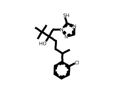 CC(CCC(O)(Cn1ncnc1S)C(C)(C)C)c1ccccc1Cl